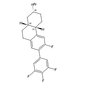 CCC[C@@H]1CC[C@@H]2c3cc(F)c(-c4cc(F)c(F)c(F)c4)cc3CC[C@@H]2C1